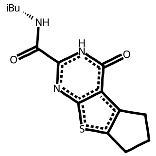 CC[C@@H](C)NC(=O)c1nc2sc3c(c2c(=O)[nH]1)CCC3